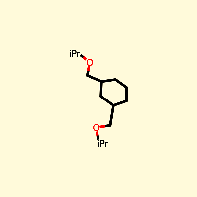 CC(C)OCC1CCCC(COC(C)C)C1